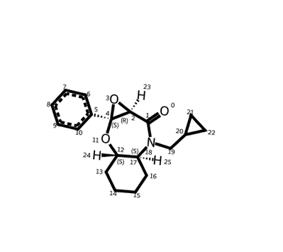 O=C1[C@@H]2O[C@]2(c2ccccc2)O[C@H]2CCCC[C@@H]2N1CC1CC1